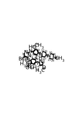 COc1cnn(-c2ccc(Nc3nc(Nc4cc(C)c(N5CCC(N6CCN(C)CC6)CC5)cc4OC)ncc3Br)c(P(C)(C)=O)c2)c1